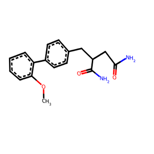 COc1ccccc1-c1ccc(CC(CC(N)=O)C(N)=O)cc1